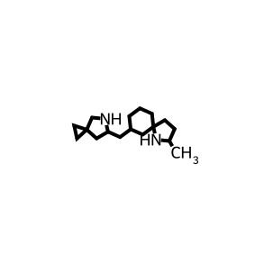 CC1CCC2(CCCC(CC3CC4(CC4)CN3)C2)N1